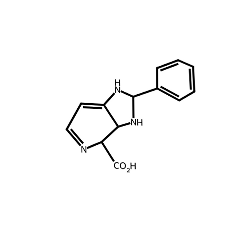 O=C(O)C1N=CC=C2NC(c3ccccc3)NC21